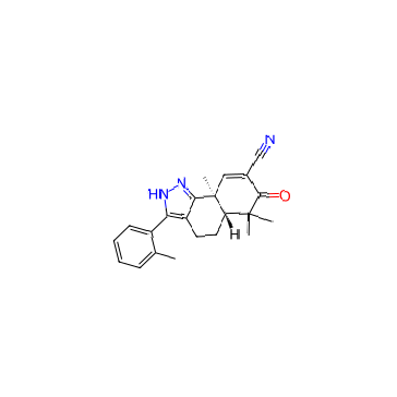 Cc1ccccc1-c1[nH]nc2c1CC[C@H]1C(C)(C)C(=O)C(C#N)=C[C@]21C